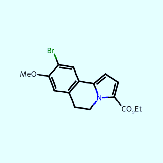 CCOC(=O)c1ccc2n1CCc1cc(OC)c(Br)cc1-2